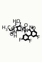 CCS(=O)(=O)N[C@@H]1CN(C(=O)Nc2noc3cc(F)cc(-c4c(F)cc(F)cc4F)c23)[C@H](CO)C1(F)F